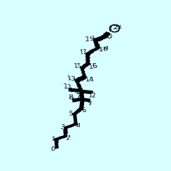 CCCCCCCC(C)(C)C(C)(C)CCCCCCC=C=O